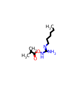 C=C(C)C(=O)ONC(N)=NCCCCCC